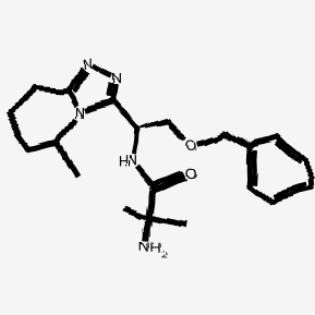 CC1CCCc2nnc([C@@H](COCc3ccccc3)NC(=O)C(C)(C)N)n21